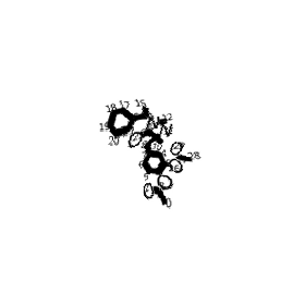 CC(=O)Oc1ccc(CC2(C)N=CN(C(C)c3ccccc3)C2=O)cc1OC(C)=O